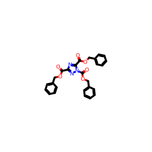 O=C(OCc1ccccc1)c1nc(C(=O)OCc2ccccc2)n(C(=O)OCc2ccccc2)n1